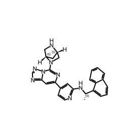 C[C@H](Nc1cc(-c2cc3ncnn3c(N3C[C@@H]4C[C@H]3CN4)n2)ccn1)c1cccc2ccccc12